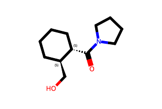 O=C([C@H]1CCCC[C@@H]1CO)N1CCCC1